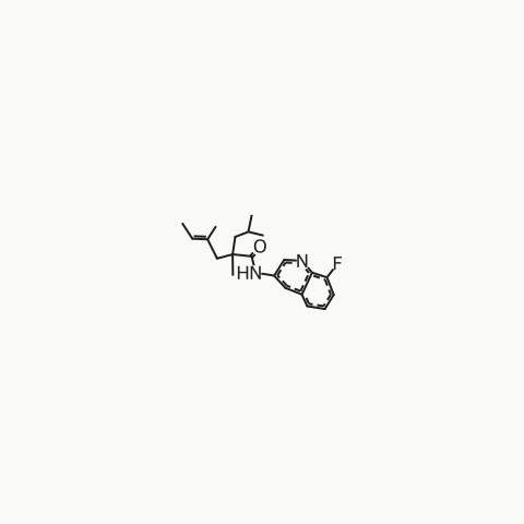 C/C=C(\C)CC(C)(CC(C)C)C(=O)Nc1cnc2c(F)cccc2c1